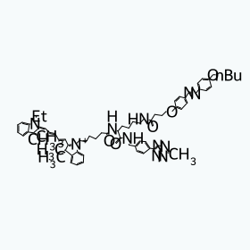 CCCCOc1ccc(N=Nc2ccc(OCCCC(=O)NCCCCC(NC(=O)CCCCC[N+]3=C(/C=C/C=C/C=C4/N(CC)c5ccccc5C4(C)C)C(C)(C)c4ccccc43)C(=O)NCc3ccc(-c4nnc(C)nn4)cc3)cc2)cc1